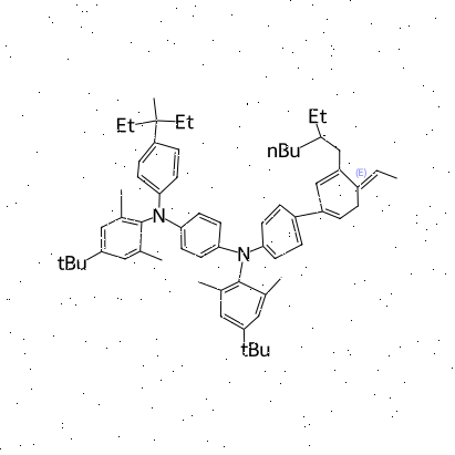 C/C=C1\CC=C(c2ccc(N(c3ccc(N(c4ccc(C(C)(CC)CC)cc4)c4c(C)cc(C(C)(C)C)cc4C)cc3)c3c(C)cc(C(C)(C)C)cc3C)cc2)C=C1CC(CC)CCCC